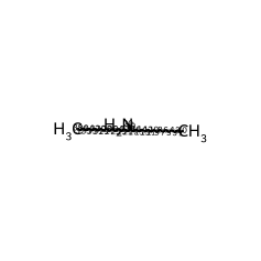 CCCCCCCCCCCCCCCCCCC(CN)CCCCCCCCCCCCCCCCCC